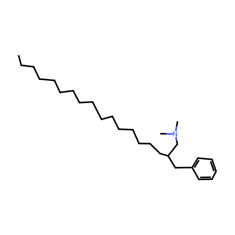 CCCCCCCCCCCCCCCCC(Cc1ccccc1)CN(C)C